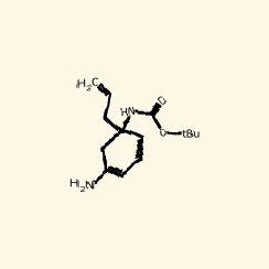 C=CCC1(NC(=O)OC(C)(C)C)C=CC=C(N)C1